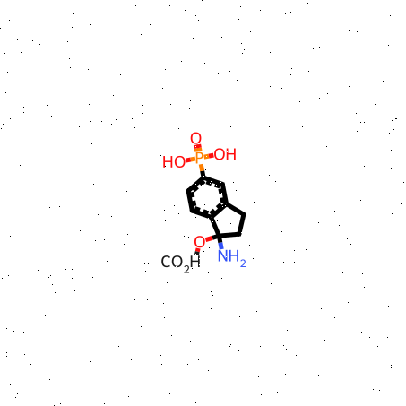 NC1(OC(=O)O)CCc2cc(P(=O)(O)O)ccc21